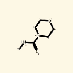 [CH]NC(=O)N1CCOCC1